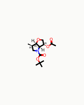 CC(=O)O[C@H]1CO[C@H]2[C@@H]1N(C(=O)OC(C)(C)C)C[C@H]2C